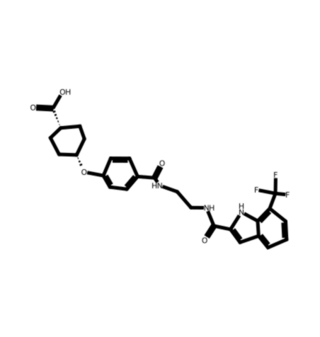 O=C(NCCNC(=O)c1cc2cccc(C(F)(F)F)c2[nH]1)c1ccc(O[C@H]2CC[C@@H](C(=O)O)CC2)cc1